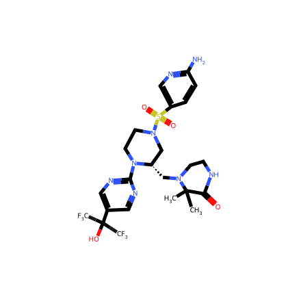 CC1(C)C(=O)NCCN1C[C@H]1CN(S(=O)(=O)c2ccc(N)nc2)CCN1c1ncc(C(O)(C(F)(F)F)C(F)(F)F)cn1